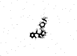 Cc1ccccc1C(=O)c1c[nH]c2ncnc(N[C@@H]3CC[C@@H](C(C)(C)O)OC3)c12